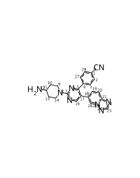 N#Cc1ccc(-c2nc(N3CCC(N)CC3)ncc2-c2ccc3ncnn3c2)cc1